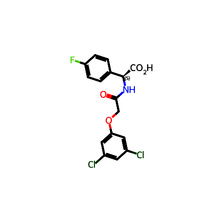 O=C(COc1cc(Cl)cc(Cl)c1)N[C@H](C(=O)O)c1ccc(F)cc1